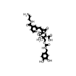 C[C@]1(COC(=O)NCc2ccc(O)c(O)c2)[C@H](C(=O)O)N2C(=O)/C(=C/c3cc(C(=O)NCCN)ccn3)[C@H]2S1(=O)=O